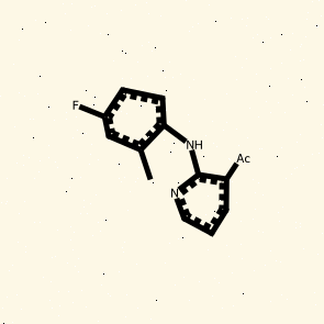 CC(=O)c1cccnc1Nc1ccc(F)cc1C